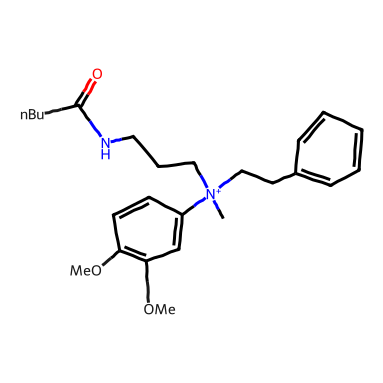 CCCCC(=O)NCCC[N+](C)(CCc1ccccc1)c1ccc(OC)c(OC)c1